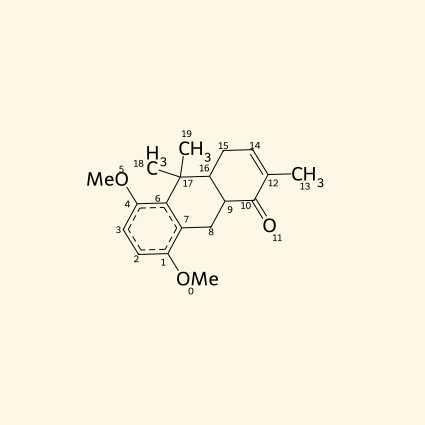 COc1ccc(OC)c2c1CC1C(=O)C(C)=CCC1C2(C)C